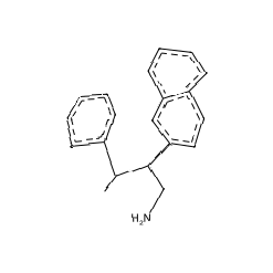 CC(c1ccccc1)C(CN)c1ccc2ccccc2c1